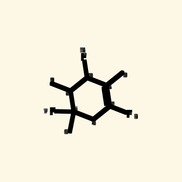 CC1=C(F)CC(C)(F)C(C)C1F